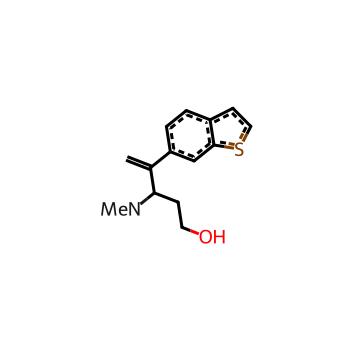 C=C(c1ccc2ccsc2c1)C(CCO)NC